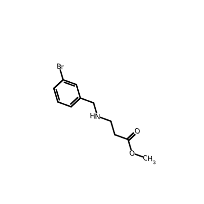 COC(=O)CCNCc1cccc(Br)c1